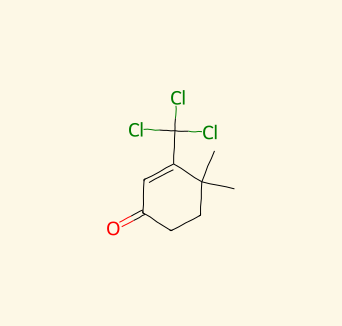 CC1(C)CCC(=O)C=C1C(Cl)(Cl)Cl